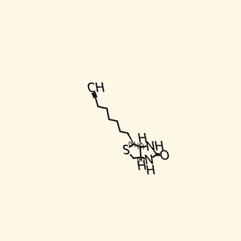 C#CCCCCCC[C@@H]1SC[C@@H]2NC(=O)N[C@@H]21